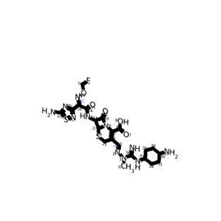 CN(/N=C/C1=C(C(=O)O)N2C(=O)C(NC(=O)/C(=N\OCF)c3nsc(N)n3)C2SC1)C(=N)NC1CCC(N)CC1